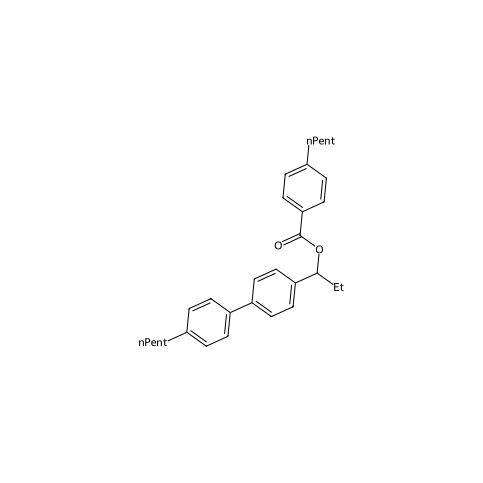 CCCCCc1ccc(C(=O)OC(CC)c2ccc(-c3ccc(CCCCC)cc3)cc2)cc1